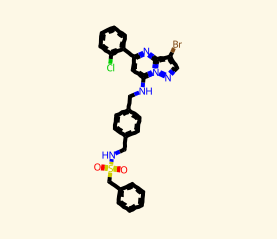 O=S(=O)(Cc1ccccc1)NCc1ccc(CNc2cc(-c3ccccc3Cl)nc3c(Br)cnn23)cc1